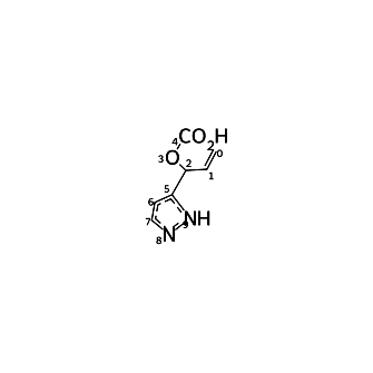 C=CC(OC(=O)O)c1ccn[nH]1